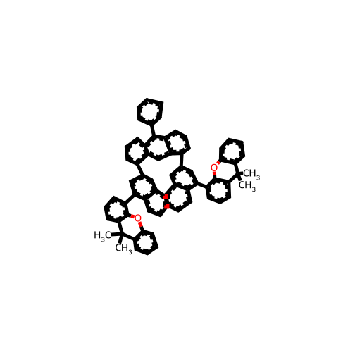 CC1(C)c2ccccc2Oc2c(-c3cc(-c4cccc5c(-c6ccccc6)c6cccc(-c7cc(-c8cccc9c8Oc8ccccc8C9(C)C)c8ccccc8c7)c6cc45)cc4ccccc34)cccc21